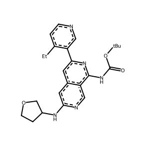 CCc1ccncc1-c1cc2cc(NC3CCOC3)ncc2c(NC(=O)OC(C)(C)C)n1